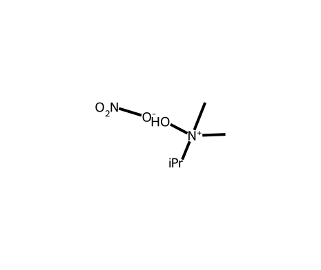 CC(C)[N+](C)(C)O.O=[N+]([O-])[O-]